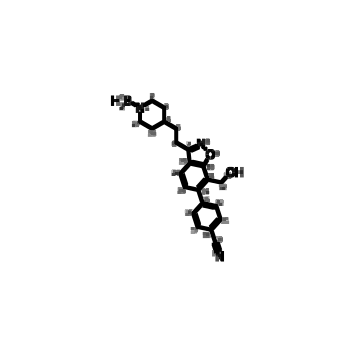 BN1CCC(CCc2noc3c(CO)c(-c4ccc(C#N)cc4)ccc23)CC1